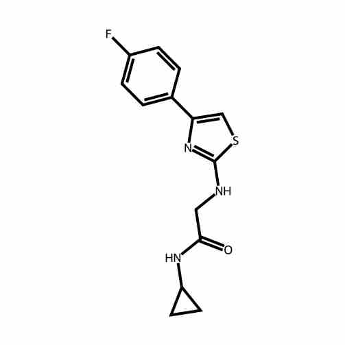 O=C(CNc1nc(-c2ccc(F)cc2)cs1)NC1CC1